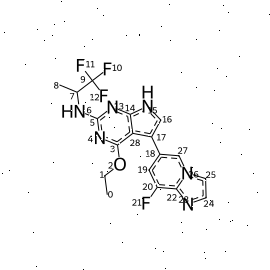 CCOc1nc(NC(C)C(F)(F)F)nc2[nH]cc(-c3cc(F)c4nccn4c3)c12